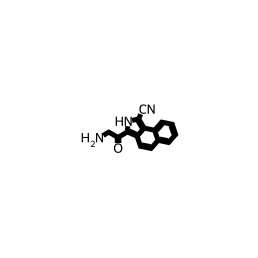 N#Cc1[nH]c(C(=O)CN)c2ccc3ccccc3c12